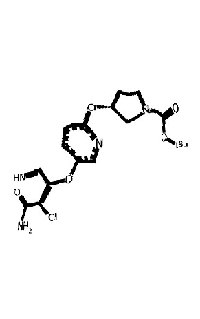 CC(C)(C)OC(=O)N1CC[C@H](Oc2ccc(O/C(C=N)=C(\Cl)C(N)=O)cn2)C1